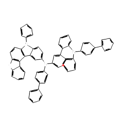 c1ccc(-c2ccc(N(c3cccc(-c4ccccc4N(c4ccccc4)c4ccc(-c5ccccc5)cc4)c3)c3ccc4c(c3)c3c5c(ccc3n4-c3ccccc3)sc3ccccc35)cc2)cc1